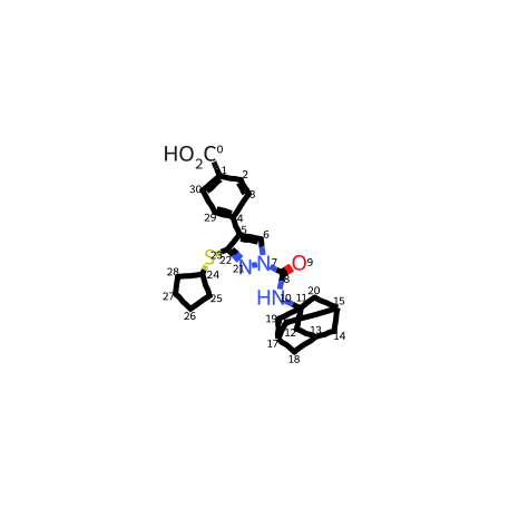 O=C(O)c1ccc(-c2cn(C(=O)NC34CC5CC(CC(C5)C3)C4)nc2SC2CCCC2)cc1